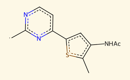 [CH2]c1nccc(-c2cc(NC(C)=O)c(C)s2)n1